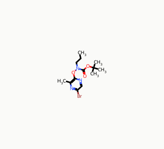 CCCN(Oc1ncc(Br)nc1C)C(=O)OC(C)(C)C